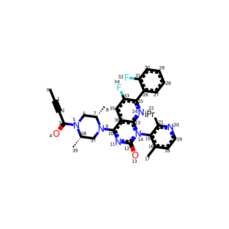 CC#CC(=O)N1C[C@H](C)N(c2nc(=O)n(-c3c(C)ccnc3C(C)C)c3nc(-c4ccccc4F)c(F)cc23)C[C@@H]1C